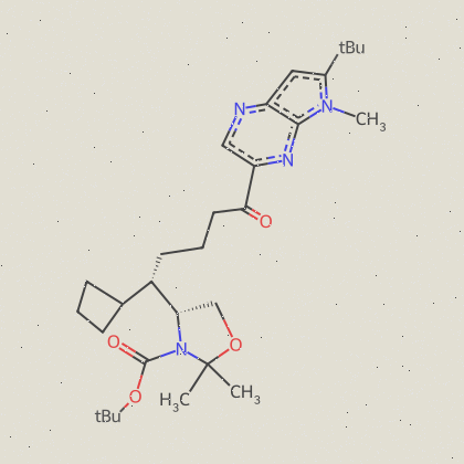 Cn1c(C(C)(C)C)cc2ncc(C(=O)CCC[C@@H](C3CCC3)[C@@H]3COC(C)(C)N3C(=O)OC(C)(C)C)nc21